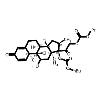 CCCCOC(=O)O[C@]1(C(=O)COC(=O)OC(C)C)[C@H](C)C[C@H]2[C@@H]3CCC4=CC(=O)C=C[C@]4(C)[C@@]3(Cl)C(O)C[C@@]21C